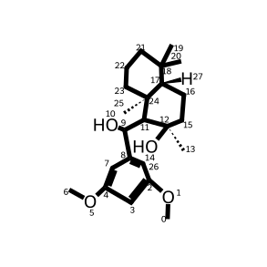 COc1cc(OC)cc(C(O)C2[C@](C)(O)CC[C@H]3C(C)(C)CCC[C@]23C)c1